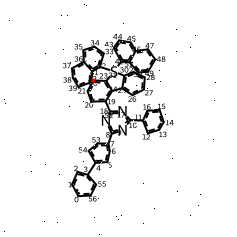 c1ccc(-c2ccc(-c3nc(-c4ccccc4)nc(-c4cccc5c4-c4ccccc4S5(c4cccc5ccccc45)c4cccc5ccccc45)n3)cc2)cc1